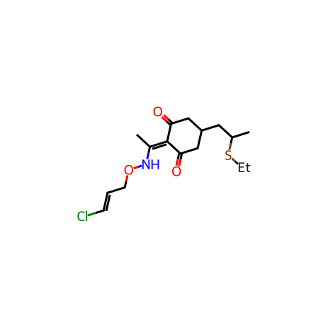 CCSC(C)CC1CC(=O)C(=C(C)NOC/C=C/Cl)C(=O)C1